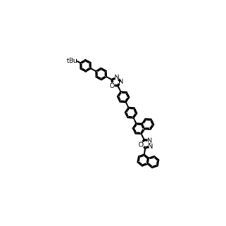 CC(C)(C)c1ccc(-c2ccc(-c3nnc(-c4ccc(-c5ccc(-c6ccc(-c7nnc(-c8cccc9ccccc89)o7)c7ccccc67)cc5)cc4)o3)cc2)cc1